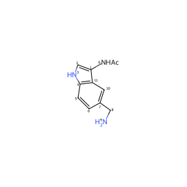 CC(=O)Nc1c[nH]c2ccc(CN)cc12